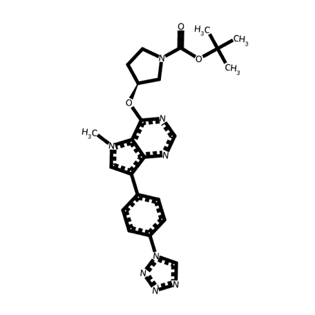 Cn1cc(-c2ccc(-n3cnnn3)cc2)c2ncnc(O[C@H]3CCN(C(=O)OC(C)(C)C)C3)c21